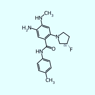 CNc1cc(N2CC[C@H](F)C2)c(C(=O)Nc2ccc(C)cc2)cc1N